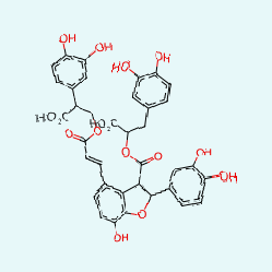 O=C(C=Cc1ccc(O)c2c1C(C(=O)OC(Cc1ccc(O)c(O)c1)C(=O)O)C(c1ccc(O)c(O)c1)O2)OCC(C(=O)O)c1ccc(O)c(O)c1